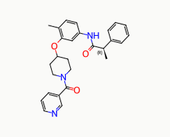 Cc1ccc(NC(=O)[C@H](C)c2ccccc2)cc1OC1CCN(C(=O)c2cccnc2)CC1